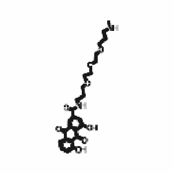 CNCCCOCCOCCOCCCNC(=O)c1cc(O)c2c(c1)C(=O)c1cccc(O)c1C2=O